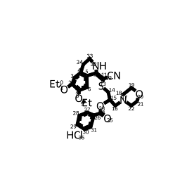 CCOc1cc2c(cc1OCC)C(=C(C#N)SCC(CN1CCOCC1)OC(=O)c1ccccc1)NCC2.Cl